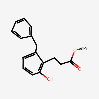 CCCOC(=O)CCc1c(O)cccc1Cc1ccccc1